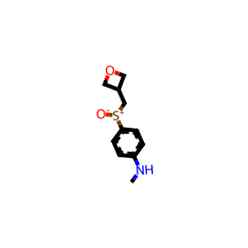 CNc1ccc([S+]([O-])CC2COC2)cc1